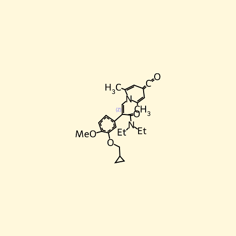 CCN(CC)C(=O)/C(=C\N1C(C)=CC(=C=O)C=C1C)c1ccc(OC)c(OCC2CC2)c1